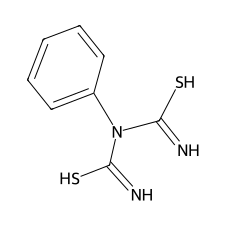 N=C(S)N(C(=N)S)c1ccccc1